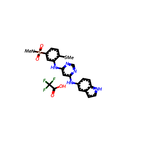 CNS(=O)(=O)c1ccc(SC)c(Nc2cc(Nc3ccc4[nH]ccc4c3)ncn2)c1.O=C(O)C(F)(F)F